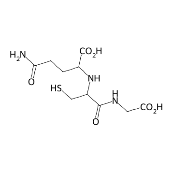 NC(=O)CCC(NC(CS)C(=O)NCC(=O)O)C(=O)O